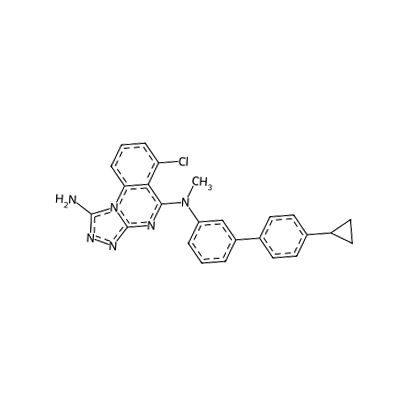 CN(c1cccc(-c2ccc(C3CC3)cc2)c1)c1nc2nnc(N)n2c2cccc(Cl)c12